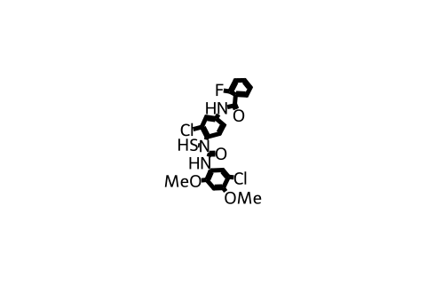 COc1cc(OC)c(NC(=O)N(S)c2ccc(NC(=O)c3ccccc3F)cc2Cl)cc1Cl